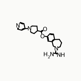 N=C(N)N1CCCc2ccc(OC(=O)C3CCN(c4ccncc4)CC3)cc2C1